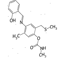 CNC(=O)Oc1cc(C)c(N=Cc2ccccc2O)cc1CSC